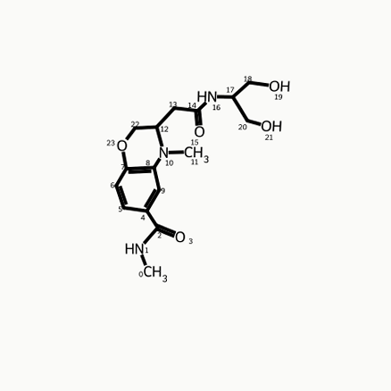 CNC(=O)c1ccc2c(c1)N(C)C(CC(=O)NC(CO)CO)CO2